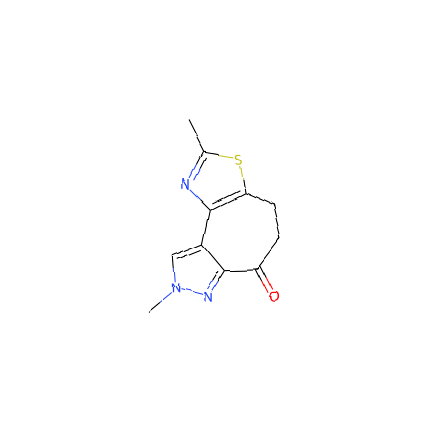 Cc1nc2c(s1)CCC(=O)c1nn(C)cc1-2